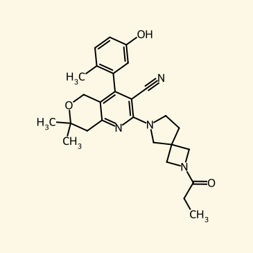 CCC(=O)N1CC2(CCN(c3nc4c(c(-c5cc(O)ccc5C)c3C#N)COC(C)(C)C4)C2)C1